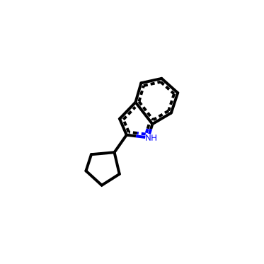 c1ccc2[nH]c(C3CCCC3)cc2c1